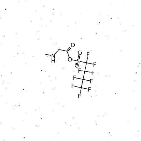 CNCC(=O)OS(=O)(=O)C(F)(F)C(F)(F)C(F)(F)C(F)(F)F